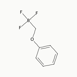 F[B-](F)(F)COc1ccccc1